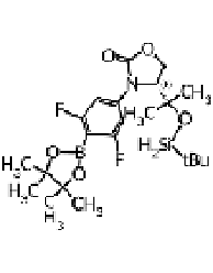 CC(C)(C)[SiH2]OC(C)(C)[C@H]1COC(=O)N1c1cc(F)c(B2OC(C)(C)C(C)(C)O2)c(F)c1